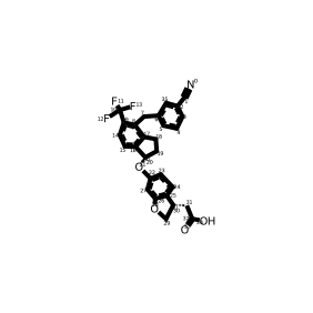 N#Cc1cccc(Cc2c(C(F)(F)F)ccc3c2CC[C@H]3Oc2ccc3c(c2)OC[C@H]3CC(=O)O)c1